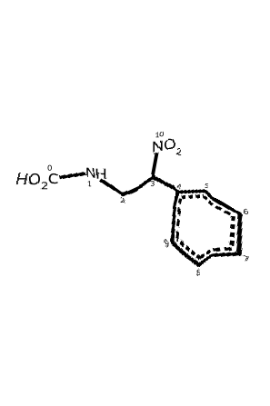 O=C(O)NCC(c1ccccc1)[N+](=O)[O-]